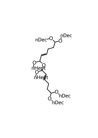 CCCCCCCCCCOC(CCC=CC(OCCCCCCC)OC(C=CCCC(OCCCCCCCCCC)OCCCCCCCCCC)OCCCCCCC)OCCCCCCCCCC